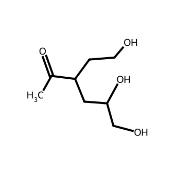 CC(=O)C(CCO)CC(O)CO